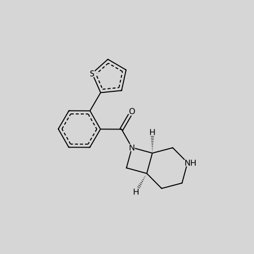 O=C(c1ccccc1-c1cccs1)N1C[C@@H]2CCNC[C@@H]21